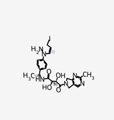 Cc1ncc2c(n1)CN(C(=O)[C@H](O)[C@@H](O)C(=O)N[C@H](C)c1ccc(N(N)/C=C\CI)cc1)C2